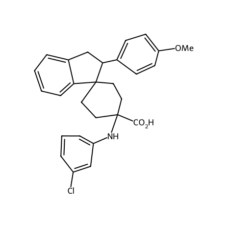 COc1ccc(C2Cc3ccccc3C23CCC(Nc2cccc(Cl)c2)(C(=O)O)CC3)cc1